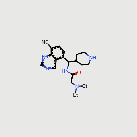 CCN(CC)CC(=O)NC(c1ccc(C#N)c2ncncc12)C1CCNCC1